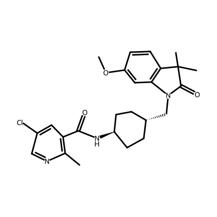 COc1ccc2c(c1)N(C[C@H]1CC[C@H](NC(=O)c3cc(Cl)cnc3C)CC1)C(=O)C2(C)C